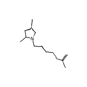 C=C(C)CCCCCN1CC(C)CC1C